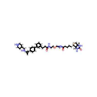 O=C(CCCC[C@@H]1SC[C@@H]2NC(=O)N[C@@H]21)NCCOCCNC(=O)CCc1cccc(-c2ccc([C@H]3C[C@H]3NCC3CCNCC3)cc2)c1